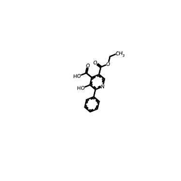 CCOC(=O)c1cnc(-c2ccccc2)c(O)c1C(=O)O